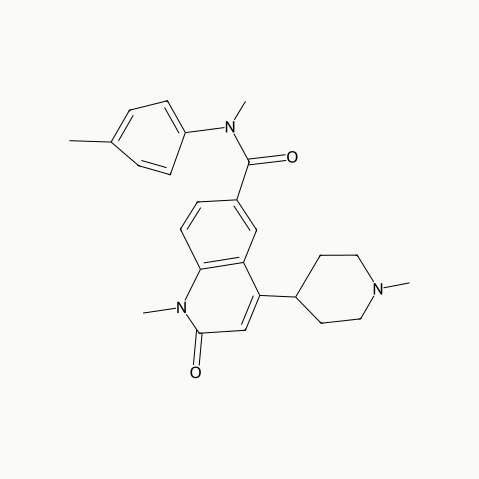 Cc1ccc(N(C)C(=O)c2ccc3c(c2)c(C2CCN(C)CC2)cc(=O)n3C)cc1